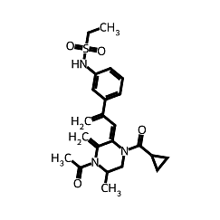 C=C(/C=C1\C(=C)N(C(C)=O)C(C)CN1C(=O)C1CC1)c1cccc(NS(=O)(=O)CC)c1